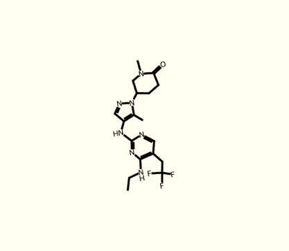 CCNc1nc(Nc2cnn(C3CCC(=O)N(C)C3)c2C)ncc1CC(F)(F)F